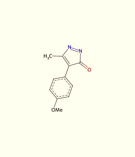 COc1ccc(C2=C(C)N=NC2=O)cc1